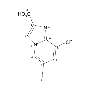 O=C(O)c1cn2cc(I)cc(Cl)c2n1